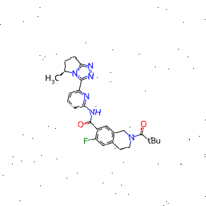 C[C@H]1CCc2nnc(-c3cccc(NC(=O)c4cc5c(cc4F)CCN(C(=O)C(C)(C)C)C5)n3)n21